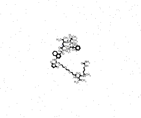 CN[C@H](CN(C)[C@H](CNC(/C=C(\C)C(=O)NS(=O)(=O)c1ccc(N[C@H](COCCOCCOCCC(=O)N[C@@H](C(=O)N[C@H](C)CCCNC(N)=O)C(C)C)N2C(=O)C=CC2=O)c2c1CCCC2)C(C)C)C(C)(C)C)C(C)(C)c1ccccc1